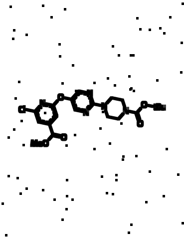 COC(=O)c1cc(Cl)nc(Oc2cnc(N3CCN(C(=O)OC(C)(C)C)CC3)nc2)c1